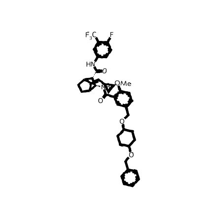 COc1ccc(COC2CCC(OCc3ccccc3)CC2)cc1C(=O)N[C@@H]1C2CCC(/C2=C/C2CC2)[C@@H]1C(=O)Nc1ccc(F)c(C(F)(F)F)c1